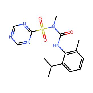 Cc1cccc(C(C)C)c1NC(=O)N(C)S(=O)(=O)c1ncncn1